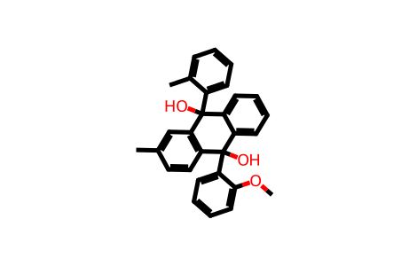 COc1ccccc1C1(O)c2ccccc2C(O)(c2ccccc2C)c2cc(C)ccc21